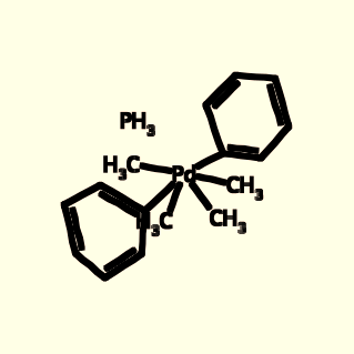 P.[CH3][Pd]([CH3])([CH3])([CH3])([c]1ccccc1)[c]1ccccc1